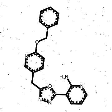 Nc1ncccc1-c1nnc(Cc2ccc(OCc3ccccc3)nc2)o1